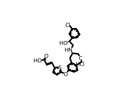 Cl.O=C(O)/C=C/c1ccc(Oc2ccc3c(c2)C[C@@H](NC[C@H](O)c2cccc(Cl)c2)CCC3)s1